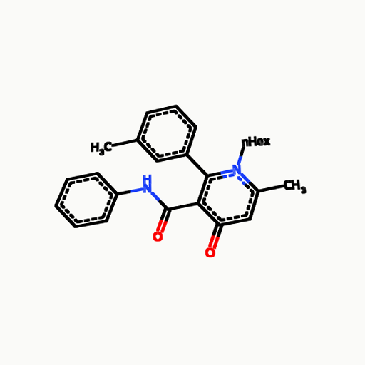 CCCCCCn1c(C)cc(=O)c(C(=O)Nc2ccccc2)c1-c1cccc(C)c1